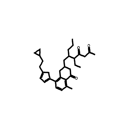 CCCC(CC1CC(=O)c2c(C)ccc(C3=CC=C(CCC4CC4)C3)c2C1)C(CC)C(=O)CC(C)=O